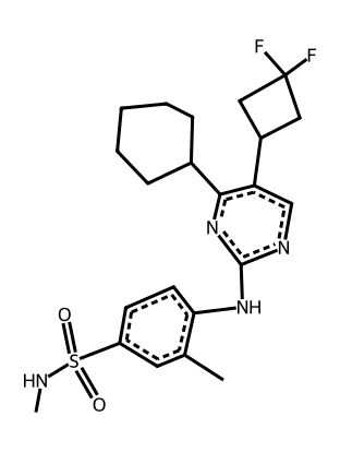 CNS(=O)(=O)c1ccc(Nc2ncc(C3CC(F)(F)C3)c(C3CCCCC3)n2)c(C)c1